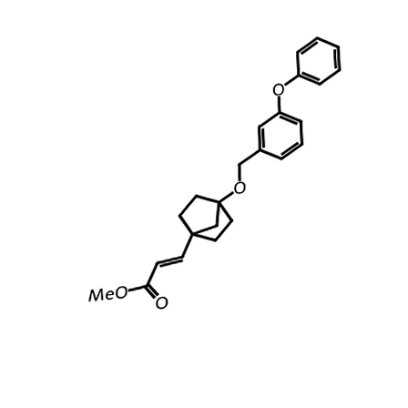 COC(=O)/C=C/C12CCC(OCc3cccc(Oc4ccccc4)c3)(CC1)C2